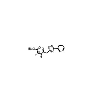 CC(C)COC(=O)[C@H](C)NC(=O)Cc1nc(-c2ccccc2)ns1